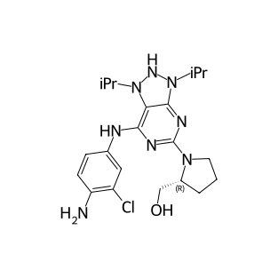 CC(C)N1NN(C(C)C)c2c(Nc3ccc(N)c(Cl)c3)nc(N3CCC[C@@H]3CO)nc21